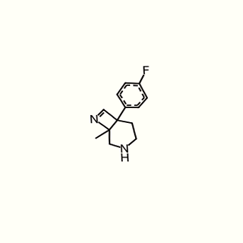 CC12CNCCC1(c1ccc(F)cc1)C=N2